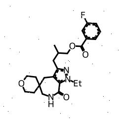 CCn1nc(CC(C)COC(=O)c2cccc(F)c2)c2c1C(=O)NCC1(CCOCC1)C2